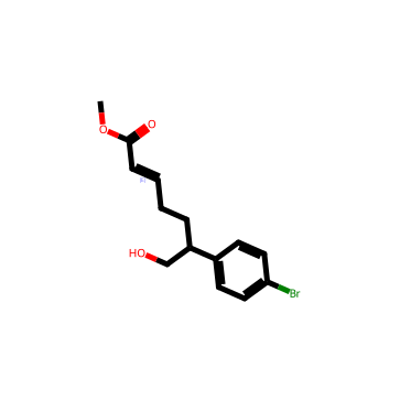 COC(=O)/C=C/CCC(CO)c1ccc(Br)cc1